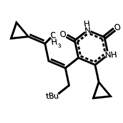 CC(/C=C(/CC(C)(C)C)c1c(C2CC2)[nH]c(=O)[nH]c1=O)=C1CC1